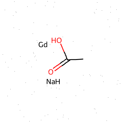 CC(=O)O.[Gd].[NaH]